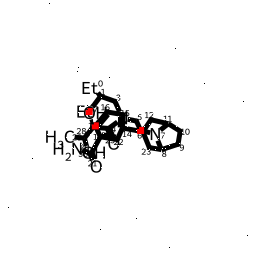 CCC(CC)CN(CCN1C2CCC1CC(c1cccc(C(N)=O)c1)C2)C(=O)[C@H](O)C(C)O